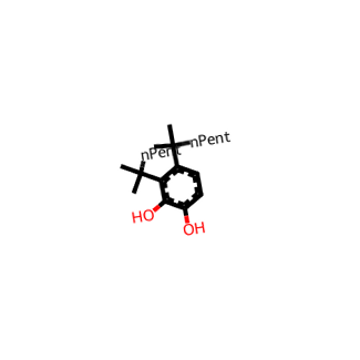 CCCCCC(C)(C)c1ccc(O)c(O)c1C(C)(C)CCCCC